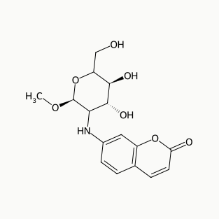 CO[C@H]1OC(CO)[C@@H](O)[C@H](O)C1Nc1ccc2ccc(=O)oc2c1